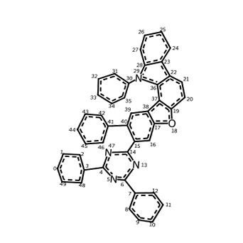 c1ccc(-c2nc(-c3ccccc3)nc(-c3cc4oc5ccc6c7ccccc7n(-c7ccccc7)c6c5c4cc3-c3ccccc3)n2)cc1